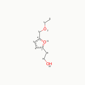 CCOCc1ccc(CCO)o1